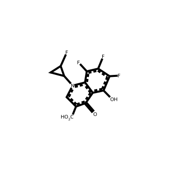 O=C(O)c1cn(C2CC2F)c2c(F)c(F)c(F)c(O)c2c1=O